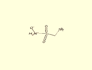 CCCCS(=O)(=O)[NH2+][O-]